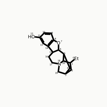 CCC1CC2CC3C4Oc5ccc(O)cc5C4CCN(C2)C13